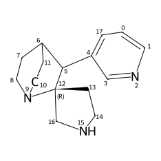 c1cncc(C2C3CCN(CC3)[C@]23CCNC3)c1